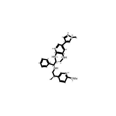 COc1ccc([C@@H](C)CN[C@H](c2ccccc2)[C@H]2CNc3cc(-c4cnn(C)c4)cnc3N2)cn1